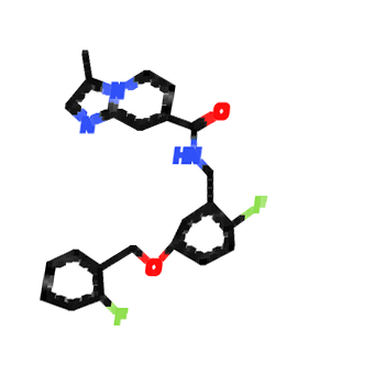 Cc1cnc2cc(C(=O)NCc3cc(OCc4ccccc4F)ccc3F)ccn12